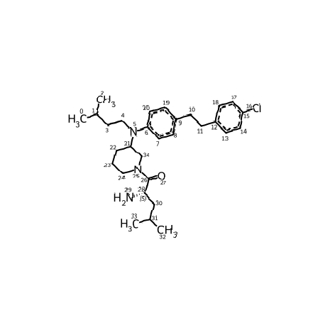 CC(C)CCN(c1ccc(CCc2ccc(Cl)cc2)cc1)C1CCCN(C(=O)[C@@H](N)CC(C)C)C1